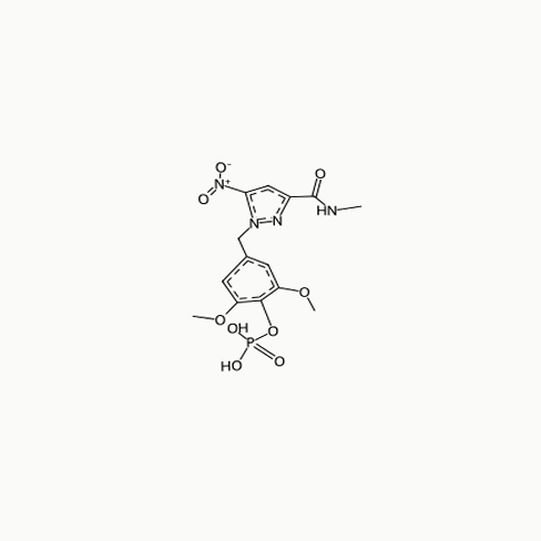 CNC(=O)c1cc([N+](=O)[O-])n(Cc2cc(OC)c(OP(=O)(O)O)c(OC)c2)n1